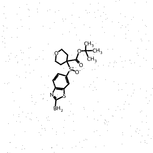 Bc1nc2ccc([S+]([O-])C3(C(=O)OC(C)(C)C)CCOCC3)cc2s1